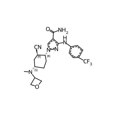 CN(C1COC1)[C@H]1CC[C@@H](n2cc(C(N)=O)c(Nc3ccc(C(F)(F)F)cc3)n2)[C@H](C#N)C1